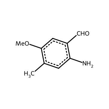 COc1cc(C=O)c(N)cc1C